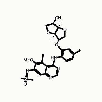 COc1c(N=S(C)(C)=O)cc2ncnc(Nc3ccc(F)cc3O[C@@H]3CO[C@H]4[C@@H]3OC[C@H]4O)c2c1C